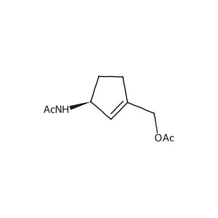 CC(=O)N[C@@H]1C=C(COC(C)=O)CC1